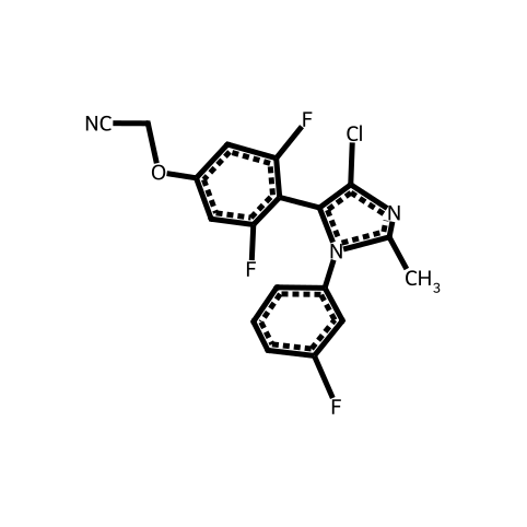 Cc1nc(Cl)c(-c2c(F)cc(OCC#N)cc2F)n1-c1cccc(F)c1